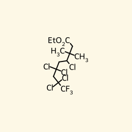 CCOC(=O)CC(C)(C)C(Cl)CC(Cl)(Cl)CC(Cl)(Cl)C(F)(F)F